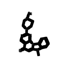 CC(=O)N1CCN(c2ncc3c(=O)cc4n(C)c5ccccc5n4c3n2)CC1